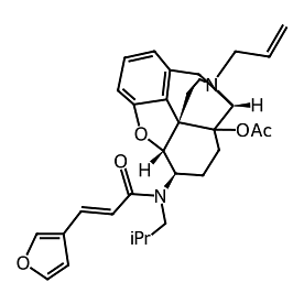 C=CCN1CC[C@]23c4c5cccc4O[C@H]2[C@H](N(CC(C)C)C(=O)/C=C/c2ccoc2)CCC3(OC(C)=O)[C@H]1C5